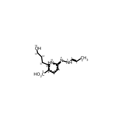 CC=CNN=c1ccc(C(=O)O)c(CCCO)[nH]1